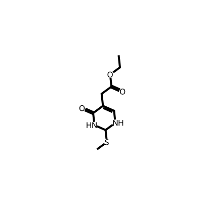 CCOC(=O)CC1=CNC(SC)NC1=O